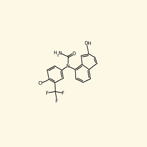 NC(=O)N(c1ccc(Cl)c(C(F)(F)F)c1)c1cccc2ccc(O)cc12